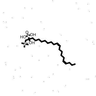 CCC/C=C\CCCC/C=C\CCCCCCCCC(O)(C[N+](C)(C)C)P(=O)(O)O